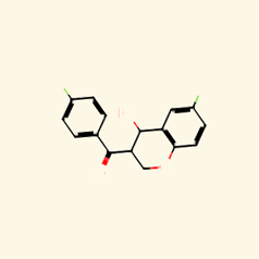 O=C(c1ccc(F)cc1)C1COc2ccc(F)cc2C1O